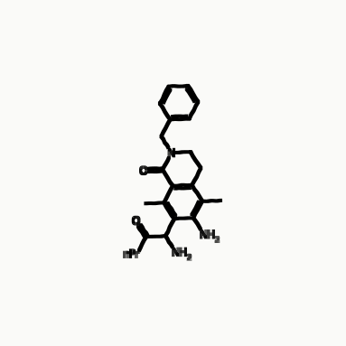 CCCC(=O)C(N)c1c(C)c2c(c(C)c1N)CCN(Cc1ccccc1)C2=O